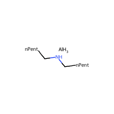 CCCCCCNCCCCCC.[AlH3]